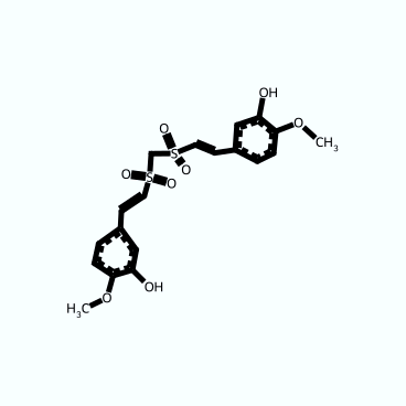 COc1ccc(/C=C/S(=O)(=O)CS(=O)(=O)/C=C/c2ccc(OC)c(O)c2)cc1O